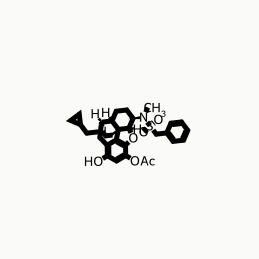 CC(=O)Oc1cc(O)c2c3c1O[C@H]1[C@H](N(C)S(=O)(=O)Cc4ccccc4)CC[C@H]4[C@@H](C2)N(CC2CC2)CC[C@@]341